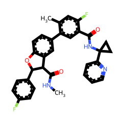 CNC(=O)C1c2cc(-c3cc(C(=O)NC4(c5ccccn5)CC4)c(F)cc3C)ccc2OC1c1ccc(F)cc1